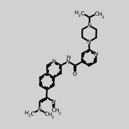 C=N/C(=C\N(C)C)c1ccc2cnc(NC(=O)c3ccnc(N4CCN(C(C)C)CC4)c3)cc2c1